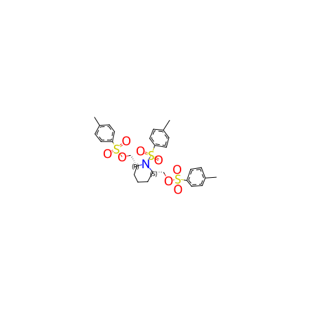 Cc1ccc(S(=O)(=O)OC[C@H]2CCC[C@@H](COS(=O)(=O)c3ccc(C)cc3)N2S(=O)(=O)c2ccc(C)cc2)cc1